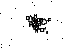 O=C(c1ccnc(C(F)(F)F)c1F)N1[C@H]2COC[C@@H]1c1nnc(-c3ccc(F)cn3)n1C2